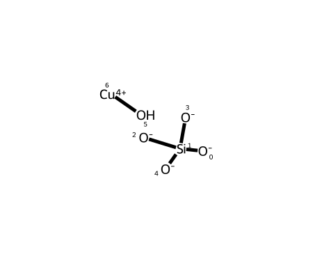 [O-][Si]([O-])([O-])[O-].[OH][Cu+4]